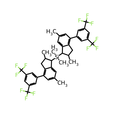 Cc1cc(-c2cc(C(F)(F)F)cc(C(F)(F)F)c2)c2c(c1)C([Si](C)(C)C1c3cc(C)cc(-c4cc(C(F)(F)F)cc(C(F)(F)F)c4)c3CC1C)C(C)C2